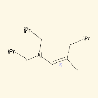 C/C(=[CH]/[Al]([CH2]C(C)C)[CH2]C(C)C)CC(C)C